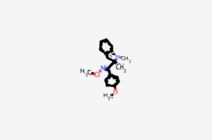 CO/N=C(\c1ccc(OC)cc1)C(C)(Cc1ccccc1)N(C)C